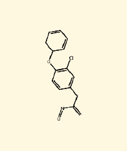 C=C(Cc1ccc(OC2C=CC=CC2)c(Cl)c1)N=O